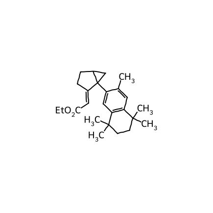 CCOC(=O)C=C1CCC2CC12c1cc2c(cc1C)C(C)(C)CCC2(C)C